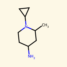 CC1CC(N)CCN1C1CC1